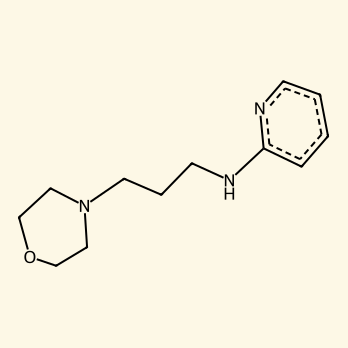 c1ccc(NCCCN2CCOCC2)nc1